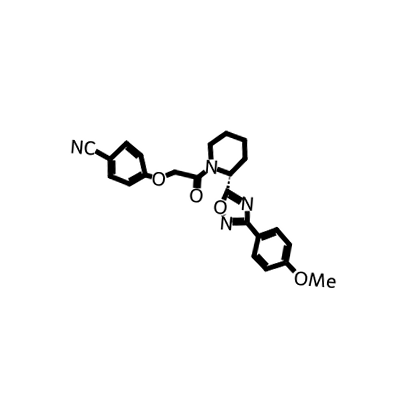 COc1ccc(-c2noc([C@H]3CCCCN3C(=O)COc3ccc(C#N)cc3)n2)cc1